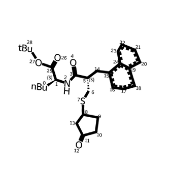 CCCC[C@H](NC(=O)[C@@H](CSC1CCC(=O)C1)Cc1cccc2ccccc12)C(=O)OC(C)(C)C